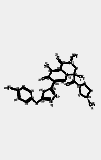 CC(C)N1C[C@](C)(C(=O)N2CC[C@H](O)C2)n2cc(-c3nnc(Cc4ccc(F)cc4)s3)c(=O)c(O)c2C1=O